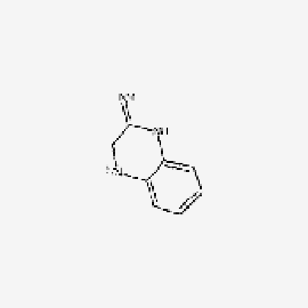 N=C1[CH]Nc2ccccc2N1